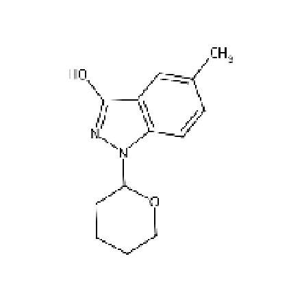 Cc1ccc2c(c1)c(O)nn2C1CCCCO1